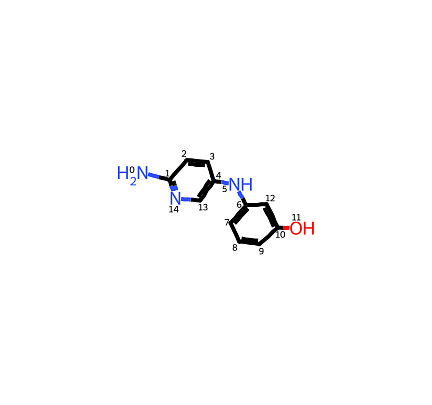 Nc1ccc(Nc2cccc(O)c2)cn1